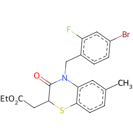 CCOC(=O)CC1Sc2ccc(C)cc2N(Cc2ccc(Br)cc2F)C1=O